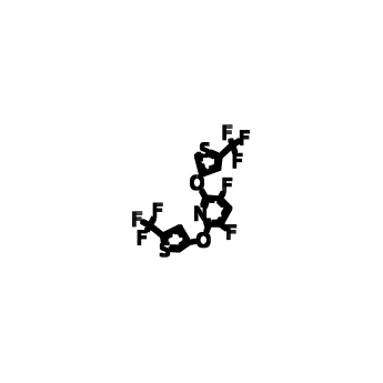 Fc1cc(F)c(Oc2csc(C(F)(F)F)c2)nc1Oc1csc(C(F)(F)F)c1